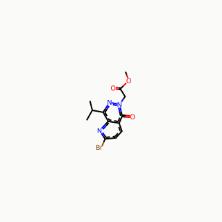 COC(=O)Cn1nc(C(C)C)c2nc(Br)ccc2c1=O